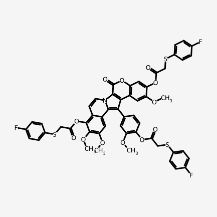 COc1cc(-c2c3c4cc(OC)c(OC(=O)CSc5ccc(F)cc5)cc4oc(=O)c3n3ccc4c(OC(=O)CSc5ccc(F)cc5)c(OC)c(OC)cc4c23)ccc1OC(=O)CSc1ccc(F)cc1